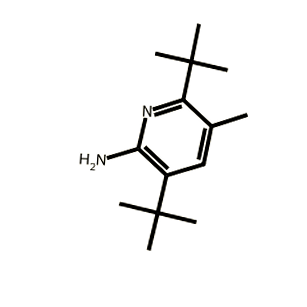 Cc1cc(C(C)(C)C)c(N)nc1C(C)(C)C